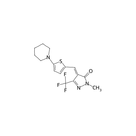 CN1N=C(C(F)(F)F)/C(=C\c2ccc(N3CCCCC3)s2)C1=O